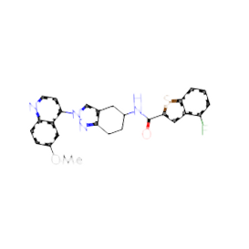 COc1ccc2nccc(-n3cc4c(n3)CCC(NC(=O)c3cc5c(F)cccc5s3)C4)c2c1